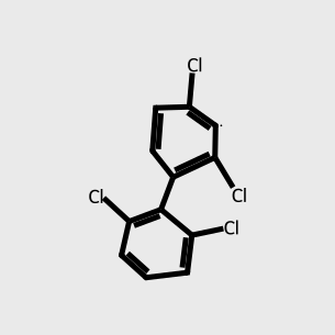 Clc1[c]c(Cl)c(-c2c(Cl)cccc2Cl)cc1